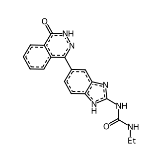 CCNC(=O)Nc1nc2cc(-c3n[nH]c(=O)c4ccccc34)ccc2[nH]1